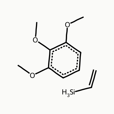 C=C[SiH3].COc1cccc(OC)c1OC